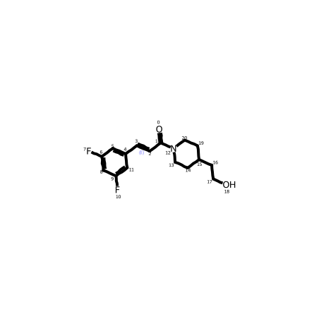 O=C(/C=C/c1cc(F)cc(F)c1)N1CCC(CCO)CC1